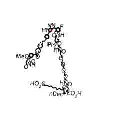 CCCCCCCCCCCN(C(=O)CCCCCCCCCC(=O)O)C(CCC(=O)NCCOCCOCCOCCOCCC(=O)NCC(=O)O[C@H]1CN(C(=O)Nc2cc(F)cc(-c3ncnc4[nH]c(-c5ccc(CCN6CCC7(CC6)CCN(C(=O)c6ccc(OC)c(N8CCC(=O)NC8=O)c6)CC7)cc5)cc34)c2C)C[C@@H]1CC(C)C)C(=O)O